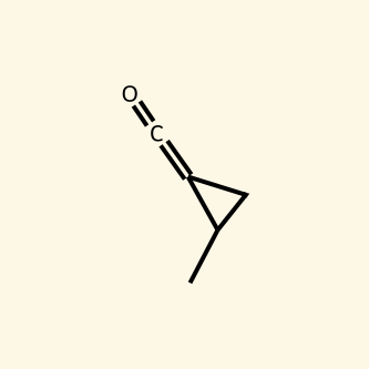 CC1CC1=C=O